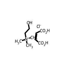 C[N+](C)(C)CCO.O=C(O)/C=C\C(=O)O.[Cl-]